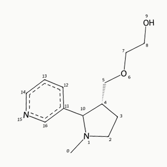 CN1CC[C@@H](COCCO)C1c1cccnc1